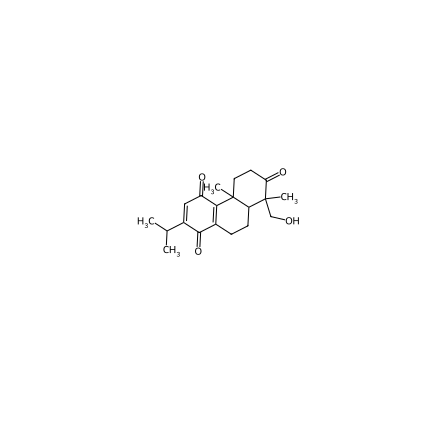 CC(C)C1=CC(=O)C2=C(CCC3C(C)(CO)C(=O)CCC23C)C1=O